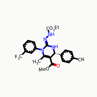 CCOC(=O)N/N=C1\N[C@H](c2ccc(C#N)cc2)C(C(=O)OC)=C(C)N1c1cccc(C(F)(F)F)c1